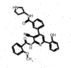 COc1ccccc1C(=O)Nc1nc(-c2ccccc2O)cc(-c2cccc(C(=O)NC3CCNC3)c2)c1C#N